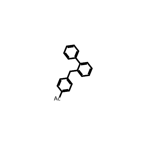 CC(=O)c1ccc(Cc2ccccc2-c2ccccc2)cc1